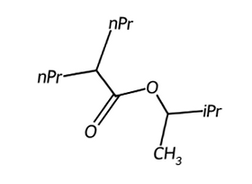 CCCC(CCC)C(=O)OC(C)C(C)C